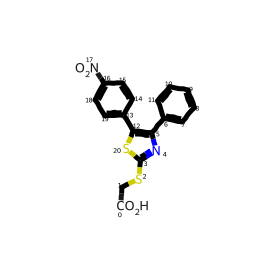 O=C(O)CSc1nc(-c2ccccc2)c(-c2ccc([N+](=O)[O-])cc2)s1